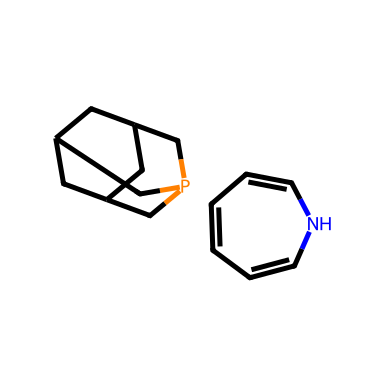 C1=CC=CNC=C1.C1C2CC3CC1CP(C2)C3